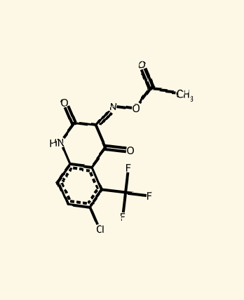 CC(=O)ON=C1C(=O)Nc2ccc(Cl)c(C(F)(F)F)c2C1=O